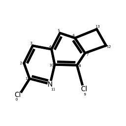 Clc1ccc2cc3c(c(Cl)c2n1)CC3